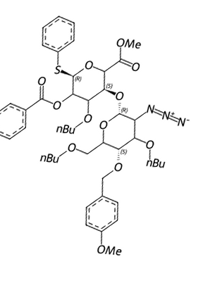 CCCCOCC1O[C@H](O[C@@H]2C(C(=O)OC)O[C@H](Sc3ccccc3)C(OC(=O)c3ccccc3)C2OCCCC)C(N=[N+]=[N-])C(OCCCC)[C@@H]1OCc1ccc(OC)cc1